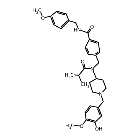 COc1ccc(CNC(=O)c2ccc(CN(C(=O)C(C)C)C3CCN(Cc4ccc(OC)c(O)c4)CC3)cc2)cc1